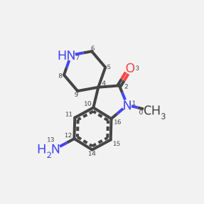 CN1C(=O)C2(CCNCC2)c2cc(N)ccc21